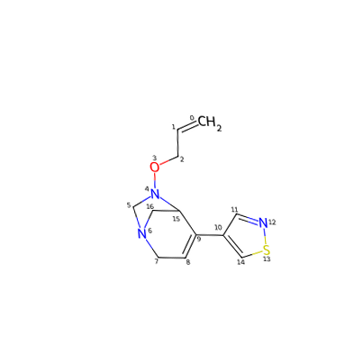 C=CCON1CN2CC=C(c3cnsc3)C1C2